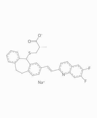 C[C@H](CSC1c2ccccc2CCc2ccc(C=Cc3ccc4cc(F)c(F)cc4n3)cc21)C(=O)[O-].[Na+]